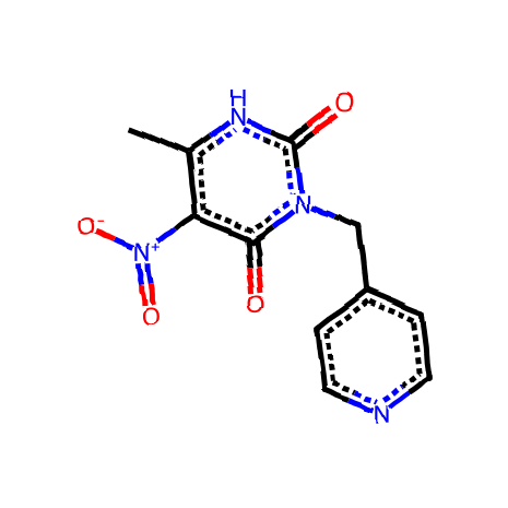 Cc1[nH]c(=O)n(Cc2ccncc2)c(=O)c1[N+](=O)[O-]